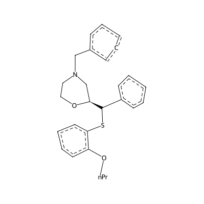 CCCOc1ccccc1SC(c1ccccc1)[C@@H]1CN(Cc2ccccc2)CCO1